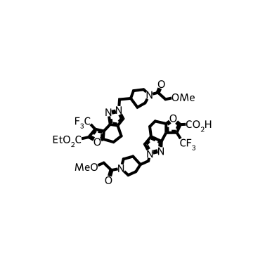 CCOC(=O)c1oc2c(c1C(F)(F)F)-c1nn(CC3CCN(C(=O)COC)CC3)cc1CC2.COCC(=O)N1CCC(Cn2cc3c(n2)-c2c(oc(C(=O)O)c2C(F)(F)F)CC3)CC1